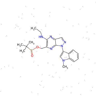 CCNc1nc2cnn(-c3cn(C)c4ccccc34)c2nc1COS(=O)C(C)(C)C